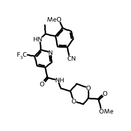 COC(=O)C1COC(CNC(=O)c2cnc(NC(C)c3cc(C#N)ccc3OC)c(C(F)(F)F)c2)CO1